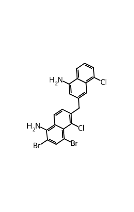 Nc1cc(Cc2ccc3c(N)c(Br)cc(Br)c3c2Cl)cc2c(Cl)cccc12